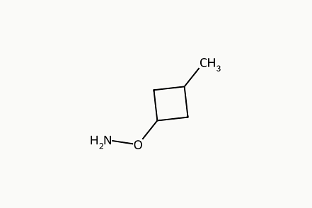 CC1CC(ON)C1